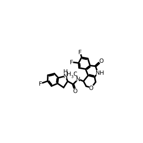 CN(C(=O)C1Cc2cc(F)ccc2N1)C1COCc2[nH]c(=O)c3cc(F)c(F)cc3c21